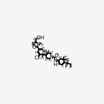 CCC(F)(F)C1=CC=C(NC(=O)N2CC=C(C3(C)NC=C(C4ON=C(CO)N4C)C=C3Cl)CC2)CC1(C)C